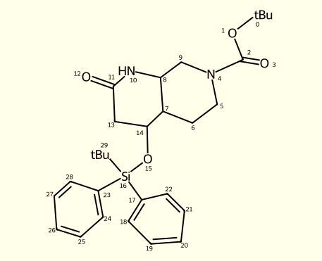 CC(C)(C)OC(=O)N1CCC2C(C1)NC(=O)CC2O[Si](c1ccccc1)(c1ccccc1)C(C)(C)C